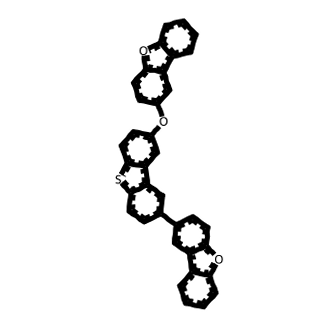 c1ccc2c(c1)oc1ccc(Oc3ccc4sc5ccc(-c6ccc7oc8ccccc8c7c6)cc5c4c3)cc12